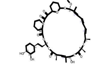 CO[C@H]1CC2CCCC(O2)C(=O)C(=O)N2CCCC[C@H]2C(=O)O[C@H](CC[C@@H]2CC[C@@H](O)[C@H](O)C2)CC(=O)[C@H](C)/C=C(\C)[C@@H](O)CC(=O)[C@H](C)C[C@H](C)/C=C/C=C/C=C/1C